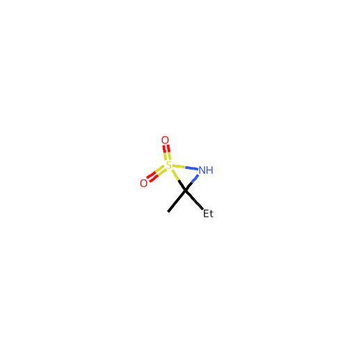 CCC1(C)NS1(=O)=O